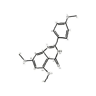 COc1ccc(-c2nc3cc(OC)cc(OC)c3c(=O)[nH]2)cc1